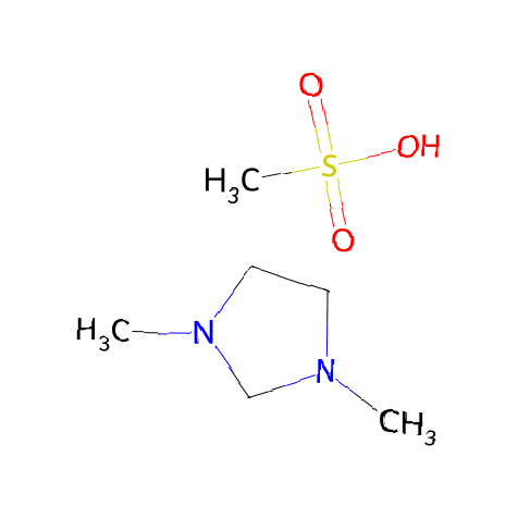 CN1CCN(C)C1.CS(=O)(=O)O